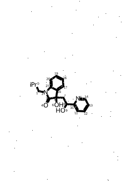 CC(C)CN1C(=O)C(O)(CC(O)c2ccccn2)c2ccccc21